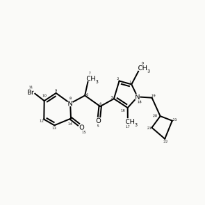 Cc1cc(C(=O)C(C)n2cc(Br)ccc2=O)c(C)n1CC1CCC1